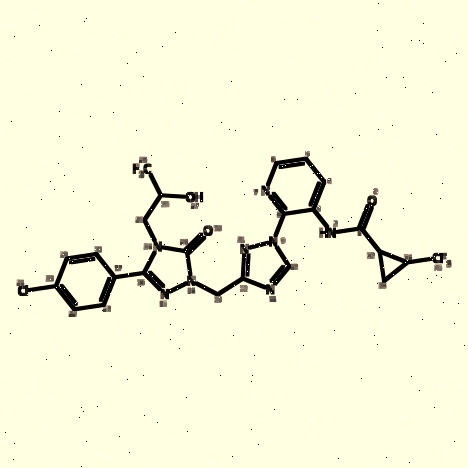 O=C(Nc1cccnc1-n1cnc(Cn2nc(-c3ccc(Cl)cc3)n(CC(O)C(F)(F)F)c2=O)n1)C1CC1C(F)(F)F